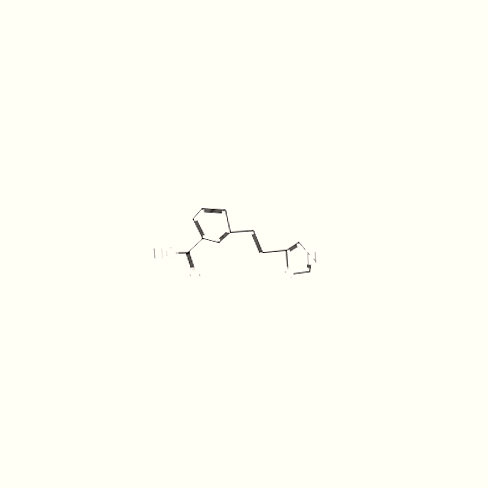 O=C(O)c1cccc(/C=C/c2cncs2)c1